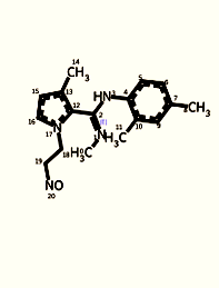 C/N=C(/Nc1ccc(C)cc1C)c1c(C)ccn1CCN=O